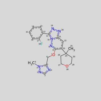 Cn1ncnc1COc1nn2c(-c3ccccc3F)nnc2cc1C1(C)CCOCC1